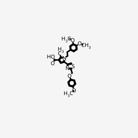 COc1ccc(OCc2nc(-c3cc(C(=O)O)c(C)n3CCc3ccc(OC)c(OC)c3)cs2)cc1